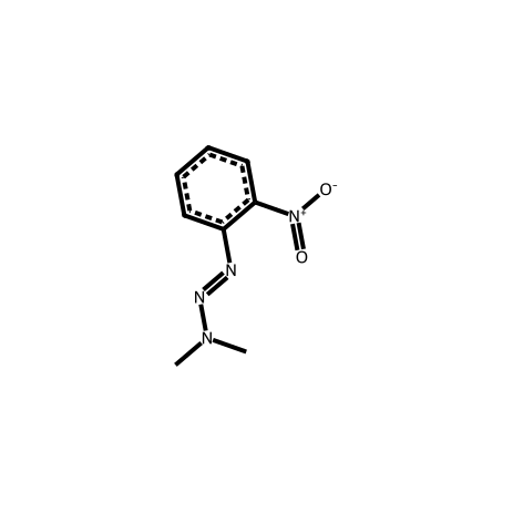 CN(C)/N=N/c1ccccc1[N+](=O)[O-]